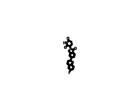 O=C1CCC(N2Cc3cc(-c4ccc5cc(F)ccc5n4)ccc3C2=O)C(=O)N1